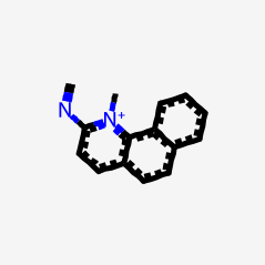 C=Nc1ccc2ccc3ccccc3c2[n+]1C